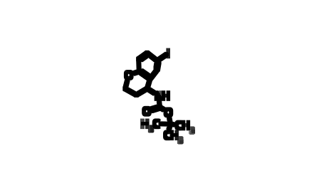 CC(C)(C)OC(=O)NC1CCOc2ccc(I)cc21